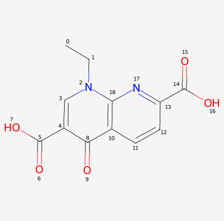 CCn1cc(C(=O)O)c(=O)c2ccc(C(=O)O)nc21